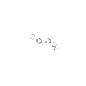 CC[C@]1(C#N)CCN(c2ccnc(Nc3ccc(N4CCN(C)CC4)cc3)n2)C1=O